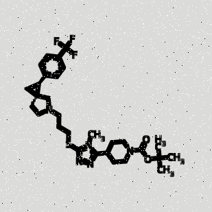 Cn1c(SCCCN2CC[C@@]3(C[C@H]3c3ccc(C(F)(F)F)cc3)C2)nnc1C1CCN(C(=O)OC(C)(C)C)CC1